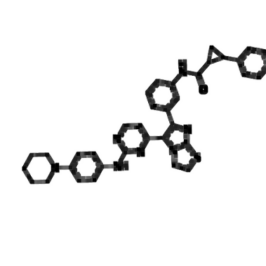 O=C(Nc1cccc(-c2nc3sccn3c2-c2ccnc(Nc3ccc(N4CCCCC4)cc3)n2)c1)C1CC1c1ccccc1